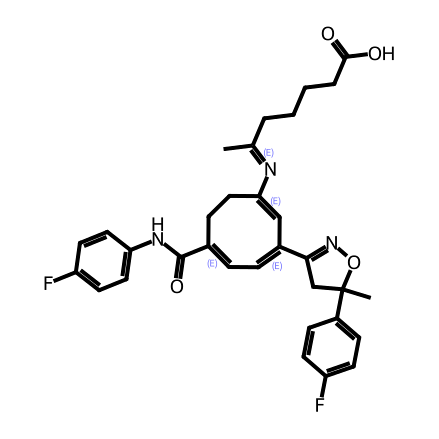 C\C(CCCCC(=O)O)=N/C1=C/C(C2=NOC(C)(c3ccc(F)cc3)C2)=C\C=C(\C(=O)Nc2ccc(F)cc2)CC1